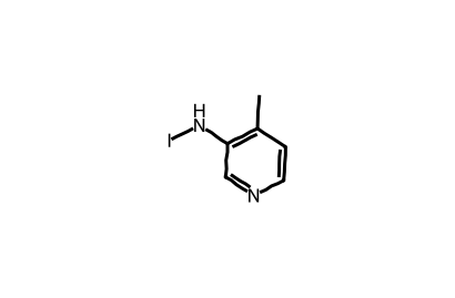 Cc1ccncc1NI